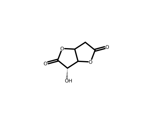 O=C1CC2OC(=O)[C@@H](O)C2O1